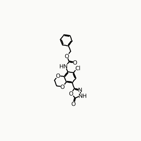 O=C(Nc1c(Cl)cc(-c2n[nH]c(=O)o2)c2c1OCCO2)OCc1ccccc1